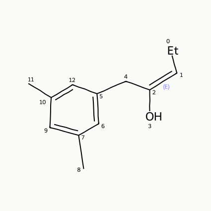 CC/C=C(/O)Cc1cc(C)cc(C)c1